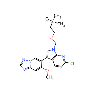 COc1cc2ncnn2cc1-c1cn(COCC[Si](C)(C)C)c2nc(Cl)ccc12